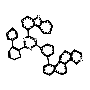 C1=CC(c2ccccc2)=C(c2nc(-c3cccc(-c4cccc5ccc6c7cnccc7ccc6c45)c3)nc(-c3cccc4oc5ccccc5c34)n2)CC1